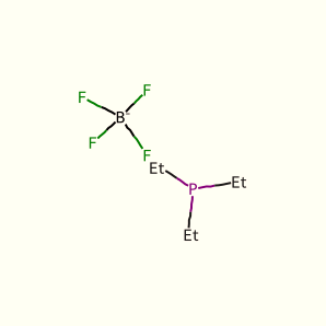 CCP(CC)CC.F[B-](F)(F)F